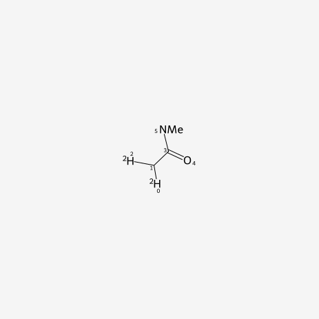 [2H]C([2H])C(=O)NC